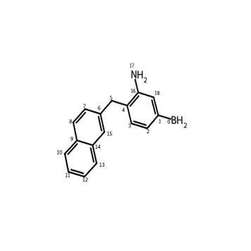 Bc1ccc(Cc2ccc3ccccc3c2)c(N)c1